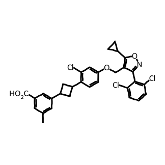 Cc1cc(C(=O)O)cc(C2CC(c3ccc(OCc4c(-c5c(Cl)cccc5Cl)noc4C4CC4)cc3Cl)C2)c1